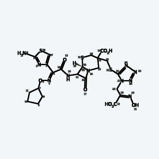 Nc1nc(C(=NOC2CCCC2)C(=O)NC2C(=O)N3CC(CSc4nnnn4CC(=NO)C(=O)O)(C(=O)O)CS[C@H]23)cs1